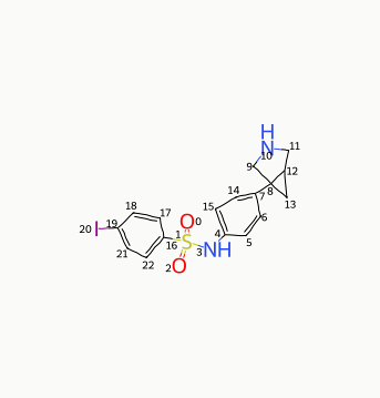 O=S(=O)(Nc1ccc(C23CNCC2C3)cc1)c1ccc(I)cc1